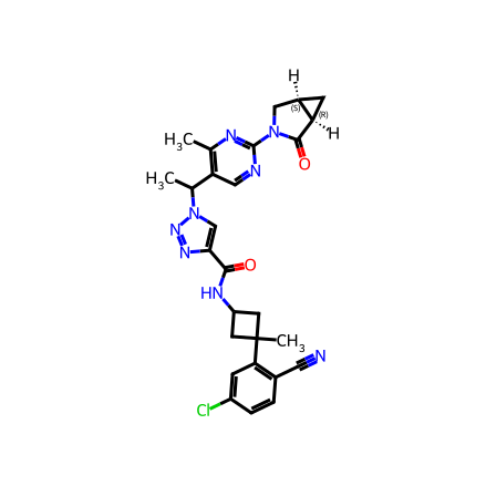 Cc1nc(N2C[C@H]3C[C@H]3C2=O)ncc1C(C)n1cc(C(=O)NC2CC(C)(c3cc(Cl)ccc3C#N)C2)nn1